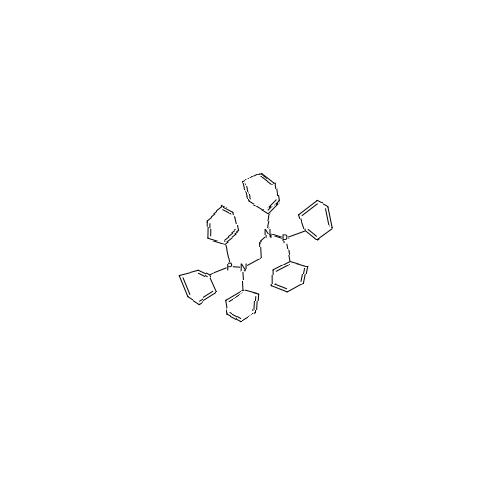 c1ccc(N(CCN(c2ccccc2)P(c2ccccc2)c2ccccc2)P(c2ccccc2)c2ccccc2)cc1